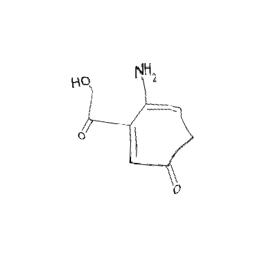 NC1=CCC(=O)C=C1C(=O)O